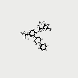 Cc1nc(Br)sc1C(=O)Nc1ccc(C(C)C)cc1N1CCN(c2cnccn2)CC1